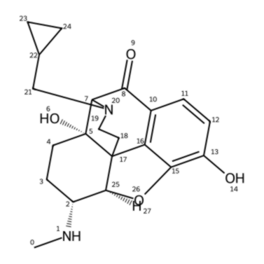 CN[C@@H]1CC[C@@]2(O)C3C(=O)c4ccc(O)c5c4C2(CCN3CC2CC2)[C@H]1O5